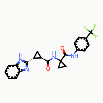 O=C(NC1(C(=O)Nc2ccc(C(F)(F)F)cc2)CC1)[C@@H]1C[C@H]1c1nc2ccccc2[nH]1